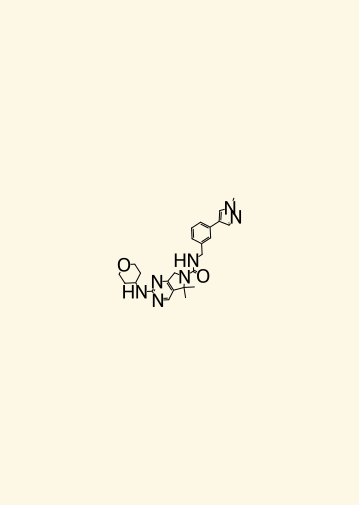 Cn1cc(-c2cccc(CNC(=O)N3Cc4nc(NC5CCOCC5)ncc4C3(C)C)c2)cn1